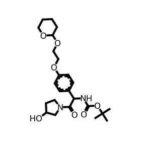 CC(C)(C)OC(=O)NC(C(=O)N1CCC(O)C1)c1ccc(OCCOC2CCCCO2)cc1